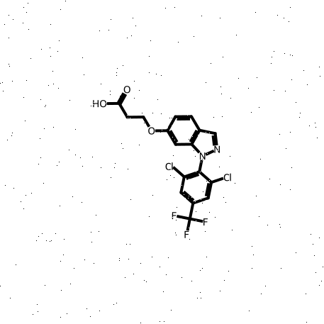 O=C(O)CCOc1ccc2cnn(-c3c(Cl)cc(C(F)(F)F)cc3Cl)c2c1